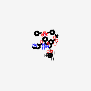 COc1c(CC(NC(=O)C(NC(=O)c2ccc3ccnn3c2)c2ccc(P(=O)(OCc3ccccc3)OCc3ccccc3)cc2)B2O[C@@H]3C[C@@H]4C[C@@H](C4(C)C)[C@]3(C)O2)cccc1C(=O)OC(C)(C)C